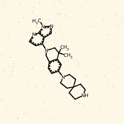 Cn1ncc2c(N3Cc4ccc(N5CCC6(CCNCC6)CC5)cc4C(C)(C)C3)ccnc21